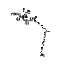 C=CC(=O)OCC(CC)(COC(=C)CCCCCCC(C)CCCCCCCCCC(C)=O)COC(=O)CCCCCCCCCC